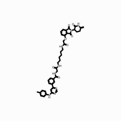 C=C1CCC(N2C(=O)c3cccc(OCC(=O)NCCCCCCNC(=O)CNC(=O)c4cccc(-c5cc(Nc6ccc(C)cc6)ncn5)c4)c3C2=O)C(=O)N1